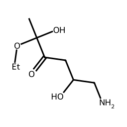 CCOC(C)(O)C(=O)CC(O)CN